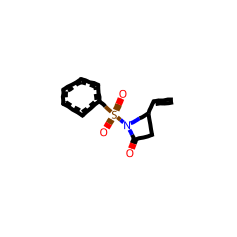 C=CC1CC(=O)N1S(=O)(=O)c1ccccc1